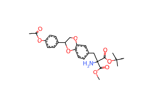 COC(=O)C(N)(Cc1ccc2c(c1)OCC(c1ccc(OC(C)=O)cc1)O2)C(=O)OC(C)(C)C